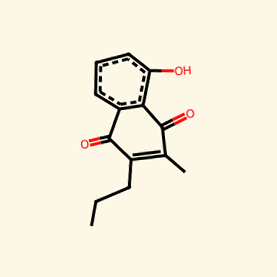 CCCC1=C(C)C(=O)c2c(O)cccc2C1=O